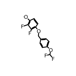 [O]c1ccc(OCc2ccc(OC(F)F)cc2)c(F)c1F